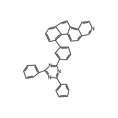 c1ccc(-c2nc(-c3ccccc3)nc(-c3cccc(-c4cccc5ccc6c7ccncc7ccc6c45)c3)n2)cc1